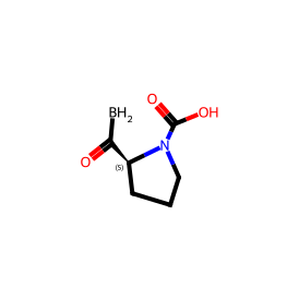 BC(=O)[C@@H]1CCCN1C(=O)O